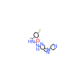 CC(NC(=O)Nc1cc2cnn(-c3ccncc3)c2cn1)c1ccc(F)cc1